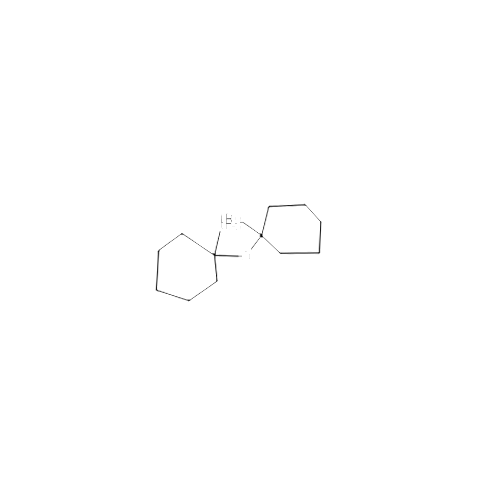 CC(C)(C)C1(OC2(C(C)(C)C)CCCCC2)CCCCC1